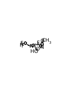 COc1ccc2nccc([C@H](F)CC[C@@H]3CCN(CC#Cc4cccc(C(F)(F)F)c4)C[C@H]3CCC(=O)O)c2c1